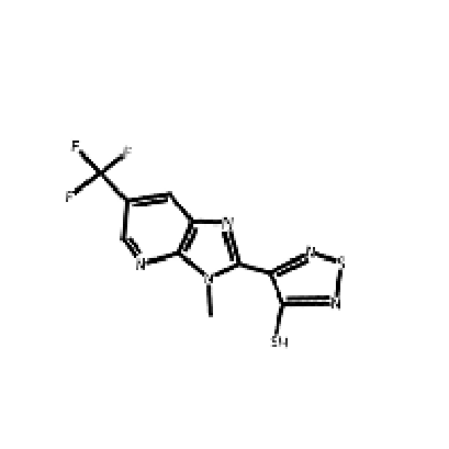 Cn1c(-c2nsnc2S)nc2cc(C(F)(F)F)cnc21